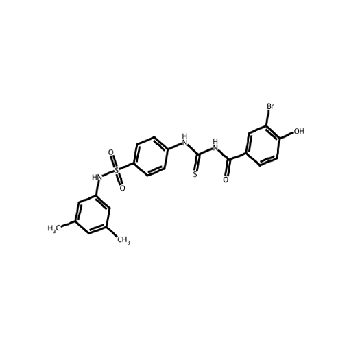 Cc1cc(C)cc(NS(=O)(=O)c2ccc(NC(=S)NC(=O)c3ccc(O)c(Br)c3)cc2)c1